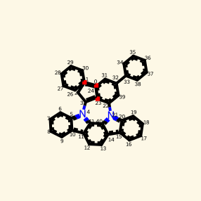 C1=CCC(n2c3ccccc3c3ccc4c5ccccc5n(-c5cc(-c6ccccc6)cc(-c6ccccc6)c5)c4c32)=C1